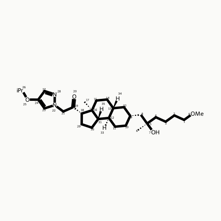 COCCCC[C@@](C)(O)C[C@@H]1CC[C@@H]2[C@H](CC[C@]3(C)[C@@H](C(=O)Cn4cc(OC(C)C)cn4)CC[C@@H]23)C1